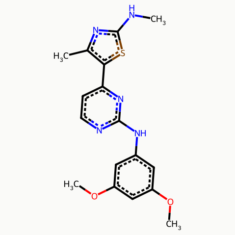 CNc1nc(C)c(-c2ccnc(Nc3cc(OC)cc(OC)c3)n2)s1